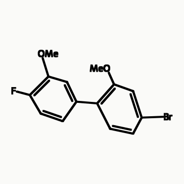 COc1cc(-c2ccc(Br)cc2OC)ccc1F